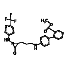 COC(=O)c1ccccc1-c1ccc(NCCCC2C(=O)N2Nc2ccc(C(F)(F)F)cc2)cc1